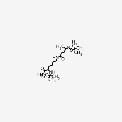 C/C(CCC(=O)NCCCCC(NC(C)(C)C)C(N)=O)=N/OC(C)(C)C